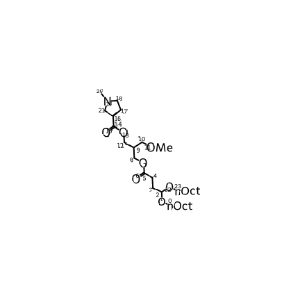 CCCCCCCCOC(CCC(=O)OCC(COC)COC(=O)C1CCN(C)C1)OCCCCCCCC